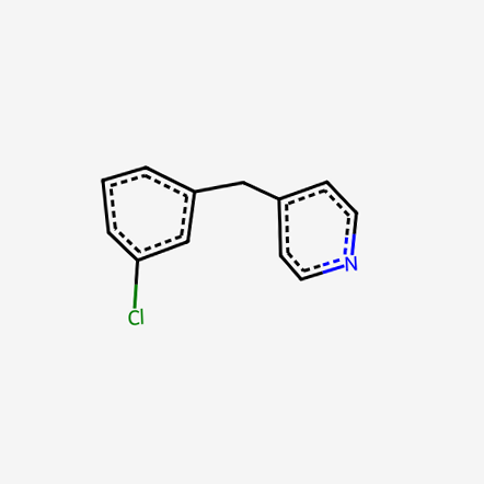 Clc1cccc(Cc2ccncc2)c1